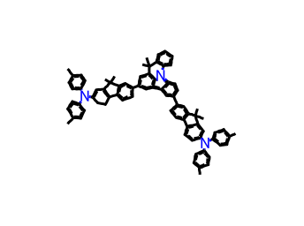 Cc1ccc(N(C2=CC3=C(CC2)c2ccc(-c4cc5c6c(c4)c4cc(-c7ccc8c(c7)C(C)(C)c7cc(N(c9ccc(C)cc9)c9ccc(C)cc9)ccc7-8)ccc4n6-c4ccccc4C5(C)C)cc2C3(C)C)c2ccc(C)cc2)cc1